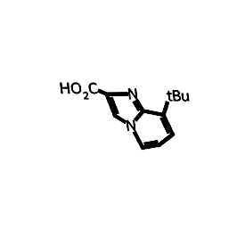 CC(C)(C)c1cccn2cc(C(=O)O)nc12